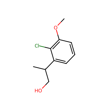 COc1cccc([C](C)CO)c1Cl